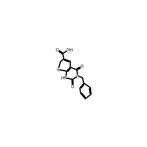 O=C(O)C1=Cc2c([nH]c(=O)n(Cc3ccccc3)c2=O)SC1